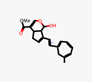 COC(=O)C1=COC(O)C2C(/C=C/C3=CC=CC=C(C)C3)=CCC12